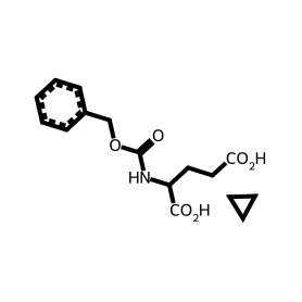 C1CC1.O=C(O)CCC(NC(=O)OCc1ccccc1)C(=O)O